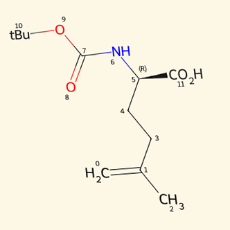 C=C(C)CC[C@@H](NC(=O)OC(C)(C)C)C(=O)O